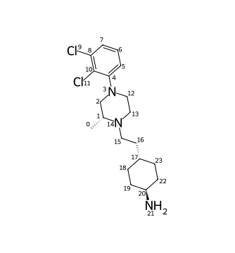 C[C@@H]1CN(c2cccc(Cl)c2Cl)CCN1CC[C@H]1CC[C@H](N)CC1